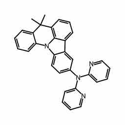 CC1(C)c2ccccc2-n2c3ccc(N(c4ccccn4)c4ccccn4)cc3c3cccc1c32